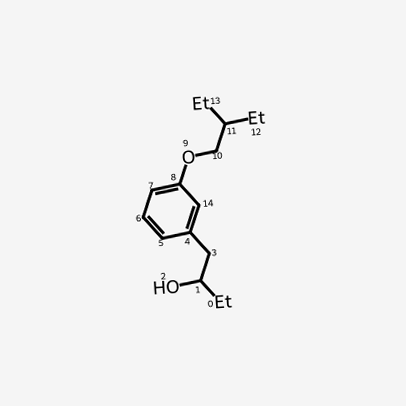 CCC(O)Cc1cccc(OCC(CC)CC)c1